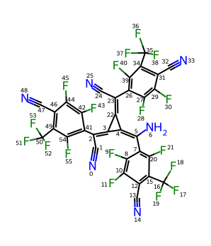 N#C/C(=C1\C(=C(N)c2c(F)c(F)c(C#N)c(C(F)(F)F)c2F)\C1=C(\C#N)c1c(F)c(F)c(C#N)c(C(F)(F)F)c1F)c1c(F)c(F)c(C#N)c(C(F)(F)F)c1F